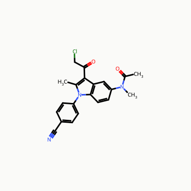 CC(=O)N(C)c1ccc2c(c1)c(C(=O)CCl)c(C)n2-c1ccc(C#N)cc1